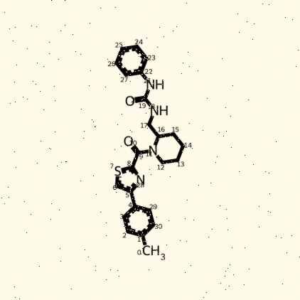 Cc1ccc(-c2csc(C(=O)N3CCCCC3CNC(=O)Nc3ccccc3)n2)cc1